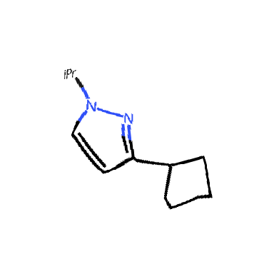 CC(C)n1ccc(C2CCC2)n1